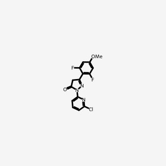 COc1cc(F)c(C2=NN(c3cccc(Cl)n3)C(=O)C2)c(F)c1